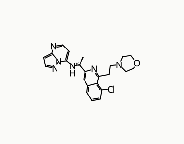 C[C@H](Nc1ccnc2ccnn12)c1cc2cccc(Cl)c2c(CCN2CCOCC2)n1